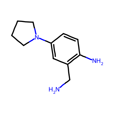 NCc1cc(N2CCCC2)ccc1N